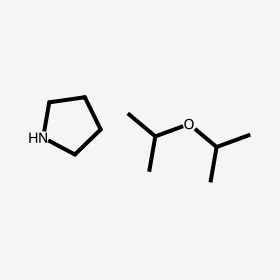 C1CCNC1.CC(C)OC(C)C